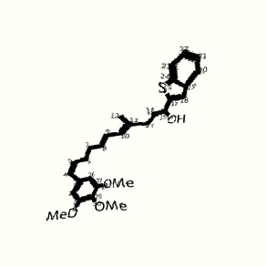 COc1cc(/C=C\CC/C=C/C=C(\C)CCC(O)c2cc3ccccc3s2)cc(OC)c1OC